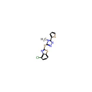 Cn1c(Sc2nc3c(Cl)cccc3s2)nnc1-c1cccs1